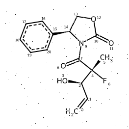 C=C[C@@H](O)[C@@](C)(F)C(=O)N1C(=O)OC[C@@H]1c1ccccc1